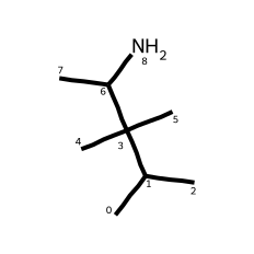 CC(C)C(C)(C)C(C)N